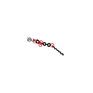 C=CCCCCCCCCCOc1ccc(-c2ccc(C(=O)Oc3ccc(OC[C@@H](C)CC)cc3)cc2)cc1